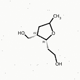 CC1C[C@@H](CO)[C@@H](CCO)O1